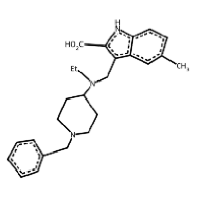 CCN(Cc1c(C(=O)O)[nH]c2ccc(C)cc12)C1CCN(Cc2ccccc2)CC1